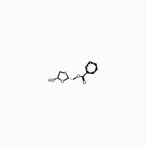 O=C(OC[C@@H]1O[C@@H](O)CS1)c1ccccc1